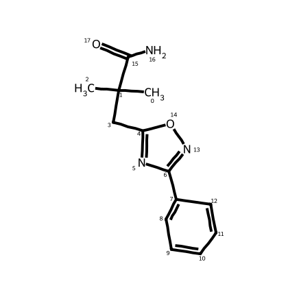 CC(C)(Cc1nc(-c2ccccc2)no1)C(N)=O